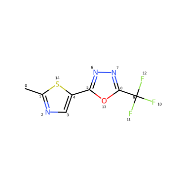 Cc1ncc(-c2nnc(C(F)(F)F)o2)s1